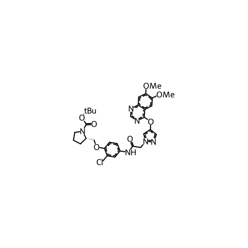 COc1cc2ncnc(Oc3cnn(CC(=O)Nc4ccc(OC[C@@H]5CCCN5C(=O)OC(C)(C)C)c(Cl)c4)c3)c2cc1OC